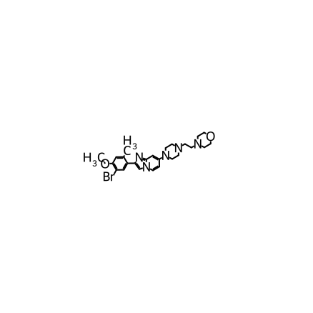 COc1cc(C)c(-c2cn3ccc(N4CCN(CCN5CCOCC5)CC4)cc3n2)cc1Br